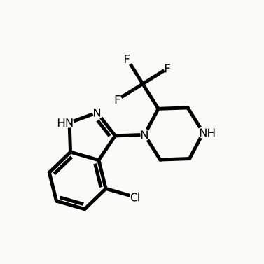 FC(F)(F)C1CNCCN1c1n[nH]c2cccc(Cl)c12